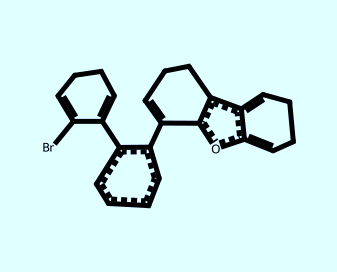 BrC1=CCCC=C1c1ccccc1C1=CCCc2c1oc1c2=CCCC=1